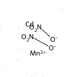 O=[N+]([O-])[O-].O=[N+]([O-])[O-].[Cd].[Mn+2]